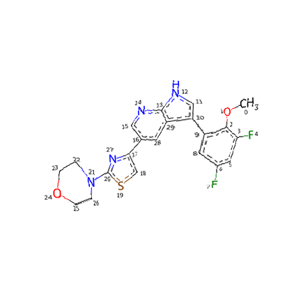 COc1c(F)cc(F)cc1-c1c[nH]c2ncc(-c3csc(N4CCOCC4)n3)cc12